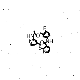 CC(=O)Nc1cc(CSc2ncccc2C(=O)Nc2ccc(F)c(C)c2)ccn1